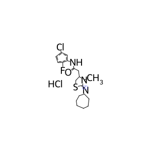 CN1/C(=N/C2CCCCCC2)SCC1CC(=O)Nc1cc(Cl)ccc1F.Cl